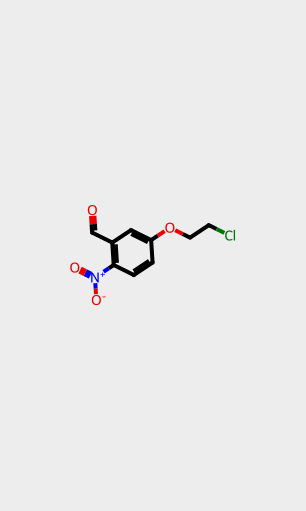 O=Cc1cc(OCCCl)ccc1[N+](=O)[O-]